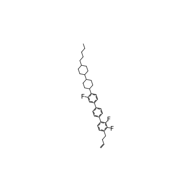 C=CCCc1ccc(-c2ccc(-c3ccc(C4CCC(C5CCC(CCCCC)CC5)CC4)c(F)c3)cc2)c(F)c1F